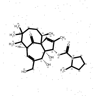 CC1=C[C@]23C(=O)[C@@H](C=C(CO)[C@@H](O)[C@]2(O)[C@H]1OC(=O)N1CCCC1C(F)(F)F)C(C)C(C)(C)CC[C@H]3C